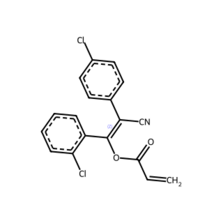 C=CC(=O)O/C(=C(\C#N)c1ccc(Cl)cc1)c1ccccc1Cl